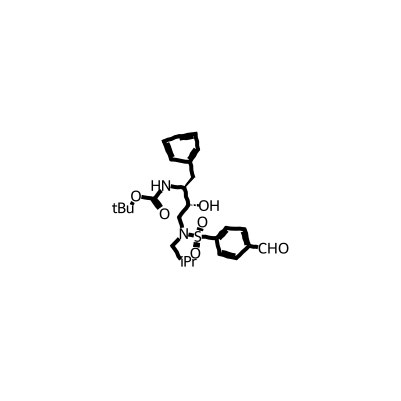 CC(C)CN(C[C@@H](O)[C@H](Cc1ccccc1)NC(=O)OC(C)(C)C)S(=O)(=O)c1ccc(C=O)cc1